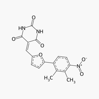 Cc1c(-c2ccc(C=C3C(=O)NC(=O)NC3=O)o2)ccc([N+](=O)[O-])c1C